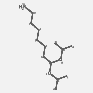 CC(C)OC(CCCCCCN)OC(C)C